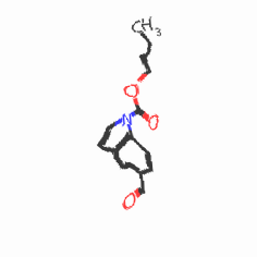 CCCCOC(=O)n1ccc2cc(C=O)ccc21